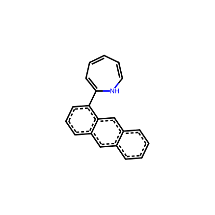 C1=CC=C(c2cccc3cc4ccccc4cc23)NC=C1